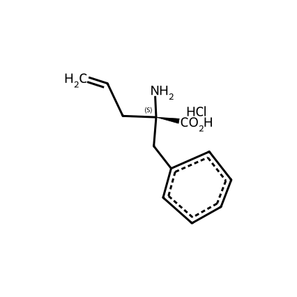 C=CC[C@](N)(Cc1ccccc1)C(=O)O.Cl